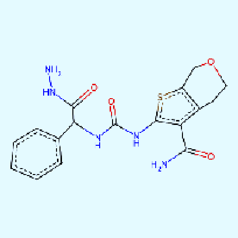 NNC(=O)C(NC(=O)Nc1sc2c(c1C(N)=O)CCOC2)c1ccccc1